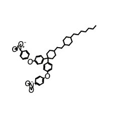 CCCCCCCC1CCC(CCC2CCC(c3ccc(Oc4ccc([N+](=O)[O-])cc4)cc3)(c3ccc(Oc4ccc([N+](=O)[O-])cc4)cc3)CC2)CC1